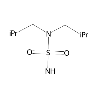 CC(C)CN(CC(C)C)S([NH])(=O)=O